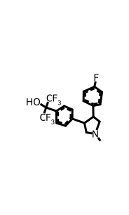 CN1CC(c2ccc(F)cc2)C(c2ccc(C(O)(C(F)(F)F)C(F)(F)F)cc2)C1